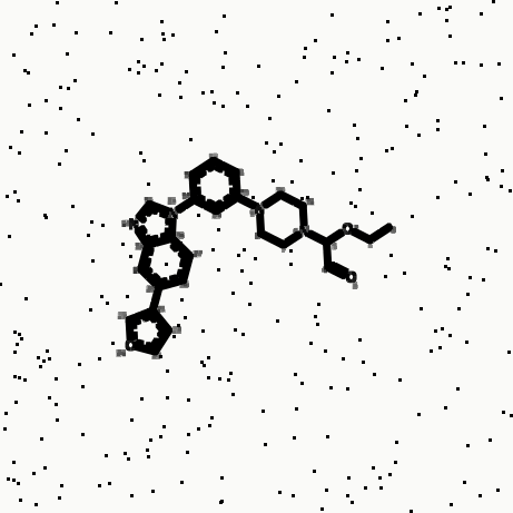 CCOC(C=O)N1CCN(c2cccc(-n3cnc4cc(-c5ccoc5)ccc43)c2)CC1